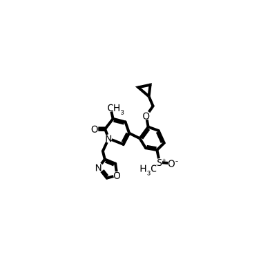 Cc1cc(-c2cc([S+](C)[O-])ccc2OCC2CC2)cn(Cc2cocn2)c1=O